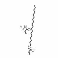 C=CC(=O)OCCCCCCCCCCCCCCCCCC.C=CC(N)=O